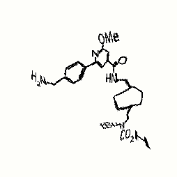 COc1cc(C(=O)NCC2CCC(CN(C(=O)O)C(C)(C)C)CC2)cc(-c2ccc(CN)cc2)n1